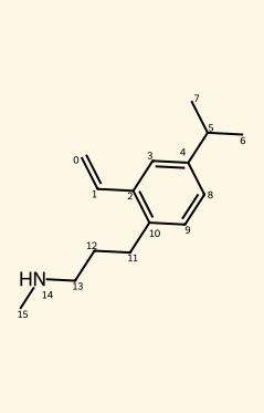 C=Cc1cc(C(C)C)ccc1CCCNC